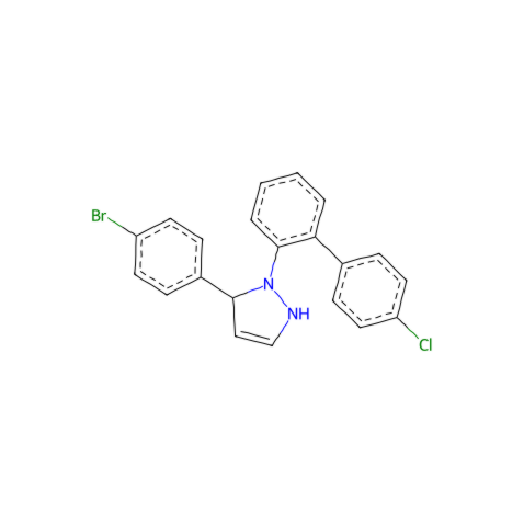 Clc1ccc(-c2ccccc2N2NC=CC2c2ccc(Br)cc2)cc1